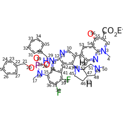 CCOC(=O)c1cn(C)c2ncc(-c3cnc4[nH]c5c(N(C)P(=O)(OCc6ccccc6)OCc6ccccc6)cc(F)c(F)c5c4c3N3CC[C@@H]4CN(C)C[C@@H]43)cc2c1=O